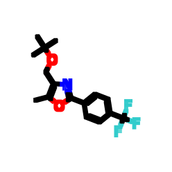 Cc1oc(-c2ccc(C(F)(F)F)cc2)nc1COC(C)(C)C